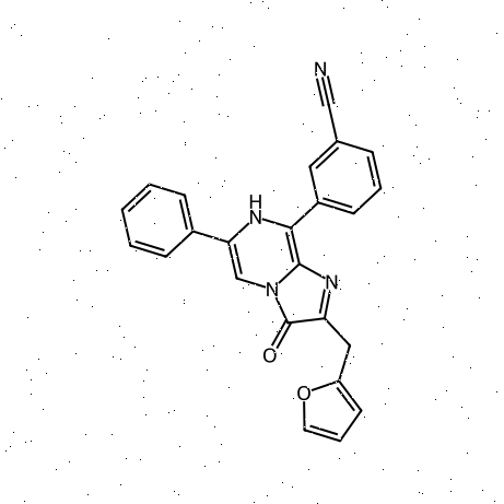 N#Cc1cccc(-c2[nH]c(-c3ccccc3)cn3c(=O)c(Cc4ccco4)nc2-3)c1